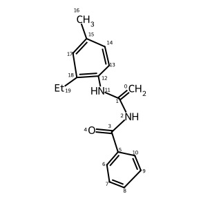 C=C(NC(=O)c1ccccc1)Nc1ccc(C)cc1CC